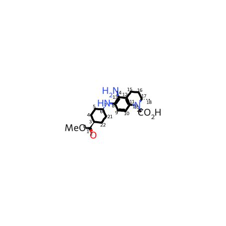 COC(=O)[C@H]1CC[C@H](Nc2ccc3c(c2N)CC[C@H](C)N3C(=O)O)CC1